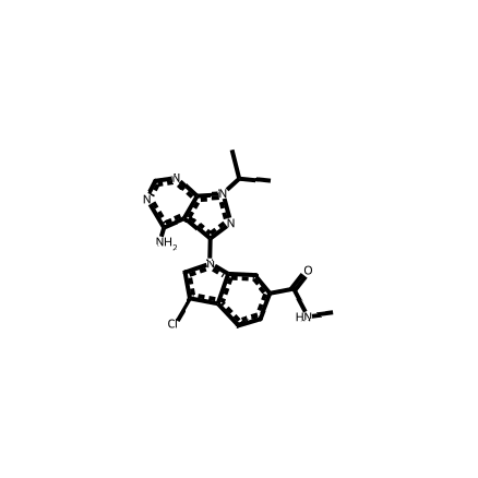 CNC(=O)c1ccc2c(Cl)cn(-c3nn(C(C)C)c4ncnc(N)c34)c2c1